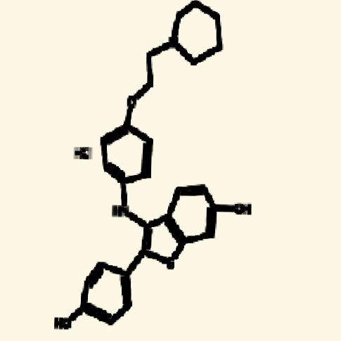 Cl.Oc1ccc(-c2sc3cc(O)ccc3c2Nc2ccc(OCCN3CCCCC3)cc2)cc1